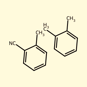 Cc1ccccc1C.Cc1ccccc1C#N